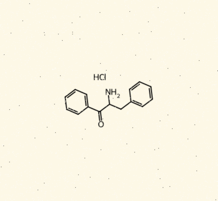 Cl.NC(Cc1ccccc1)C(=O)c1ccccc1